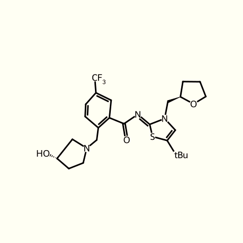 CC(C)(C)c1cn(C[C@H]2CCCO2)/c(=N/C(=O)c2cc(C(F)(F)F)ccc2CN2CC[C@H](O)C2)s1